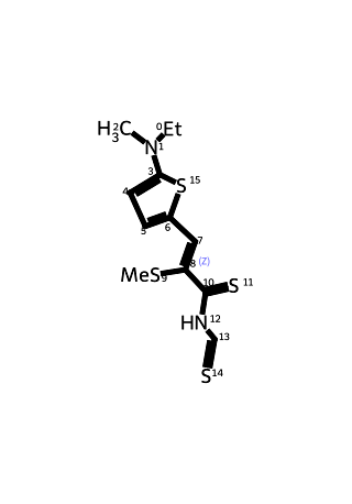 CCN(C)c1ccc(/C=C(\SC)C(=S)NC=S)s1